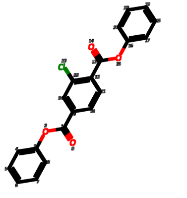 O=C(Oc1ccccc1)c1ccc(C(=O)Oc2ccccc2)c(Cl)c1